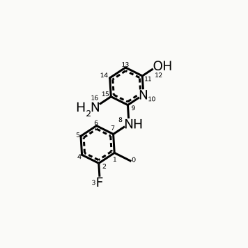 Cc1c(F)cccc1Nc1nc(O)ccc1N